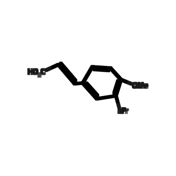 CCCc1cc(C=CC(=O)O)ccc1OC